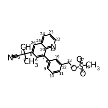 CC(C)(C#N)c1cc(-c2cccc(COS(C)(=O)=O)c2)c2ncccc2c1